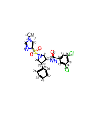 Cn1cnc(S(=O)(=O)N2C[C@H](NC(=O)c3cc(Cl)cc(Cl)c3)[C@@H](c3ccccc3)C2)c1